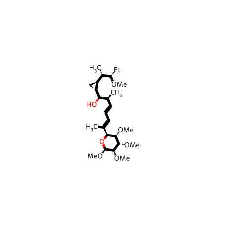 CC[C@H](OC)[C@@H](C)[C@@H]1C[C@H]1[C@H](O)[C@@H](C)/C=C/C=C(\C)[C@@H]1O[C@H](OC)[C@H](OC)[C@@H](OC)[C@H]1OC